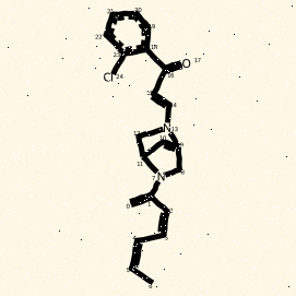 C=C(/C=C\C=C/C)N1CC2=CC1CN2/C=C/C(=O)c1ccccc1Cl